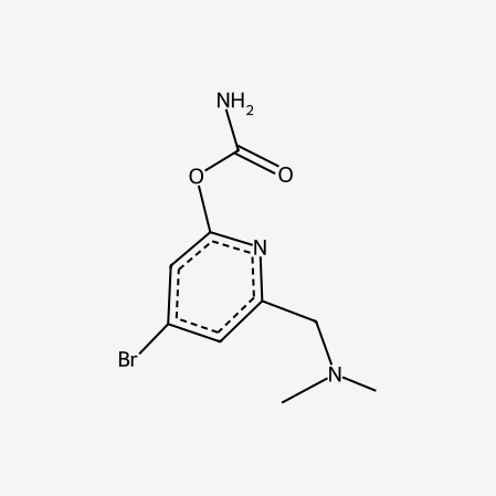 CN(C)Cc1cc(Br)cc(OC(N)=O)n1